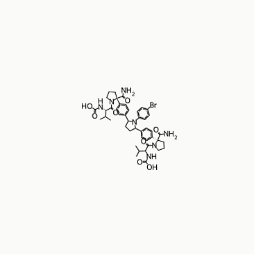 CC(C)[C@H](NC(=O)O)C(=O)N1CCC[C@@]1(C(N)=O)c1ccc(C2CCC(c3ccc([C@]4(C(N)=O)CCCN4C(=O)[C@@H](NC(=O)O)C(C)C)cc3)N2c2ccc(Br)cc2)cc1